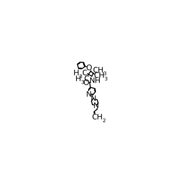 C=CCN1CCN(c2ccc(C(=O)N[C@H]3C(C)(C)[C@H](Oc4ccccc4)C3(C)C)cn2)CC1